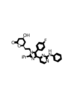 CC(C)c1nc(-c2ccnc(Nc3ccccc3)n2)c(-c2ccc(F)cc2)n1CC[C@@H]1C[C@@H](O)CC(=O)O1